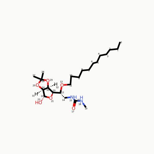 CCCCCCCCCCCCO[C@H](CNC(=O)NC)[C@H]1O[C@H](O)[C@H]2OC(C)(C)O[C@H]21